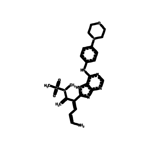 C=C(/C(=C\C=C/N)c1nc2ncnc(Nc3ccc(N4CCOCC4)cc3)c2[nH]1)N(C)S(C)(=O)=O